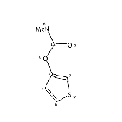 CNC(=O)Oc1ccsc1